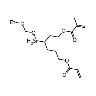 C=CC(=O)OCCCC(CCOC(=O)C(=C)C)[SiH2]OCOCC